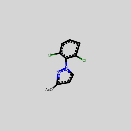 CC(=O)Oc1ccn(-c2c(Cl)cccc2Cl)n1